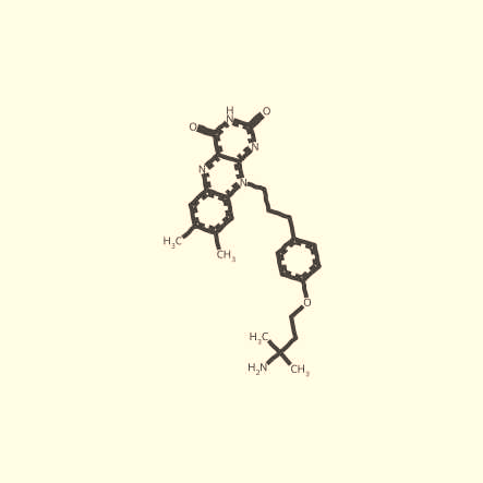 Cc1cc2nc3c(=O)[nH]c(=O)nc-3n(CCCc3ccc(OCCC(C)(C)N)cc3)c2cc1C